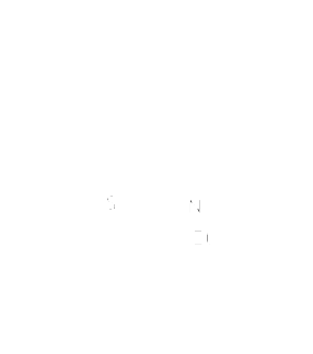 CCN1CCc2ccccc2C1c1cccs1